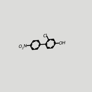 O=[N+]([O-])c1ccc(-c2ccc(O)cc2Cl)cc1